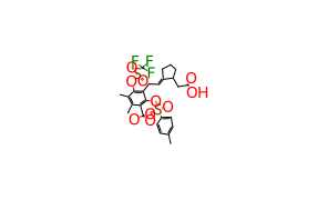 Cc1ccc(S(=O)(=O)Oc2c(C/C=C3\CCCC3CC(=O)O)c(OS(=O)(=O)C(F)(F)F)c(C)c3c2C(=O)OC3)cc1